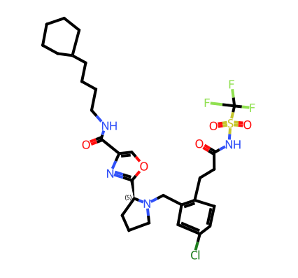 O=C(CCc1ccc(Cl)cc1CN1CCC[C@H]1c1nc(C(=O)NCCCCC2CCCCC2)co1)NS(=O)(=O)C(F)(F)F